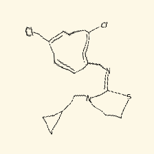 Clc1ccc(N=C2SCCN2CC2CC2)c(Cl)c1